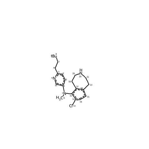 CN(c1ccc(CCC(C)(C)C)nc1)c1c(Cl)ccc2c1CCNCC2